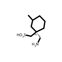 CC1CCC[C@@](CN)(CS(=O)(=O)O)C1